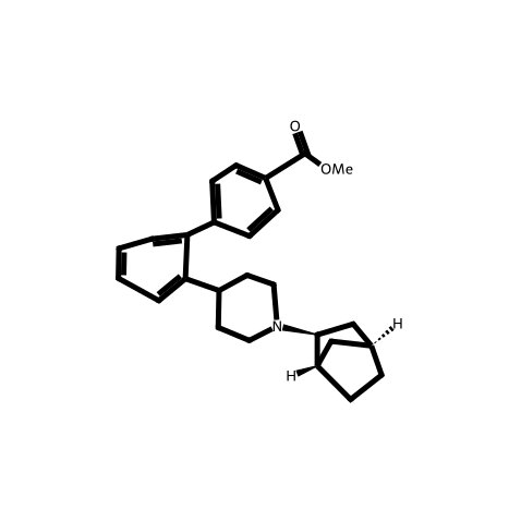 COC(=O)c1ccc(-c2ccccc2C2CCN([C@H]3C[C@H]4CC[C@H]3C4)CC2)cc1